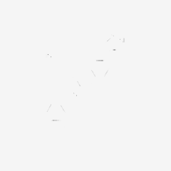 COc1cccc(CNC(=O)Oc2ccc(-c3cn[nH]c3)cc2OCC2CCNC2)c1